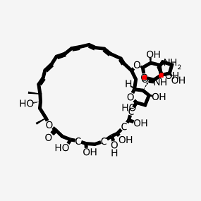 C[C@H]1C[C@H](O)[C@@H](C)/C=C/C=C/C=C/C=C/C=C/C=C/C=C/C(O[C@@H]2OC[C@@H](O)[C@H](N)[C@@H]2O)C[C@@H]2OC(O)(CC(O)CC(O)C(O)CCC(O)CC(O)CC(=O)O1)C[C@H](O)[C@H]2C(=O)N[C@H]1CCC[C@H]1O